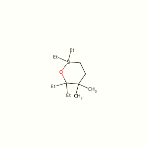 CCC1(CC)O[Si](CC)(CC)CCC1(C)C